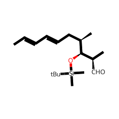 C/C=C/C=C/C[C@@H](C)[C@H](O[Si](C)(C)C(C)(C)C)[C@@H](C)C=O